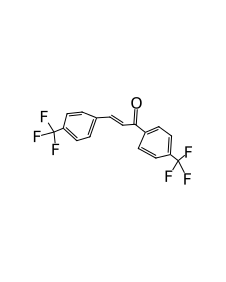 O=C(C=Cc1ccc(C(F)(F)F)cc1)c1ccc(C(F)(F)F)cc1